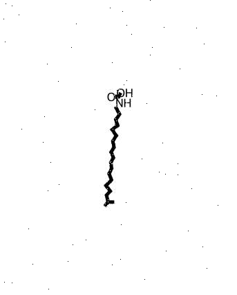 CC(C)CCCCCCCCCCCCCCCCCNC(=O)O